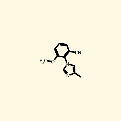 Cc1cn(-c2c(C#N)cccc2OC(F)(F)F)cn1